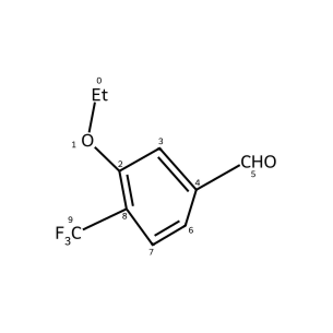 CCOc1cc(C=O)ccc1C(F)(F)F